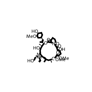 C=CC[C@@H]1/C=C(\C)C[C@H](C)C[C@H](OC)[C@H]2O[C@@](O)(C(=O)C(=O)N3CCCC[C@H]3C(=O)O[C@H](/C(C)=C/[C@@H]3CC[C@@H](O)[C@H](OC)C3)[C@H](C)[C@@H](O)C/C1=N/NCCO)[C@H](C)C[C@@H]2OC